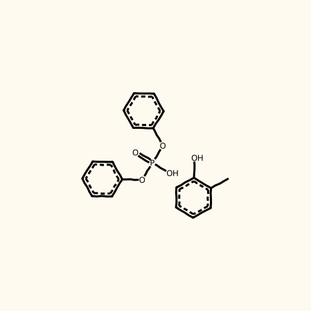 Cc1ccccc1O.O=P(O)(Oc1ccccc1)Oc1ccccc1